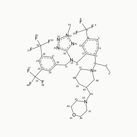 CCC(c1ccc(C(F)(F)F)cc1CN(Cc1cc(C(F)(F)F)cc(C(F)(F)F)c1)c1nnn(C)n1)N1CCCC(CN2CCOCC2)C1